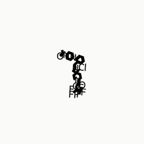 CC(=O)N1CCN(c2cccc(Cl)c2CN2CC3(CCN(C(=O)OC(C(F)(F)F)C(F)(F)F)CC3)C2)CC1